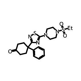 CCS(=O)(=O)N1CCN(c2nc(C3(c4ccccc4)CCC(=O)CC3)ns2)CC1